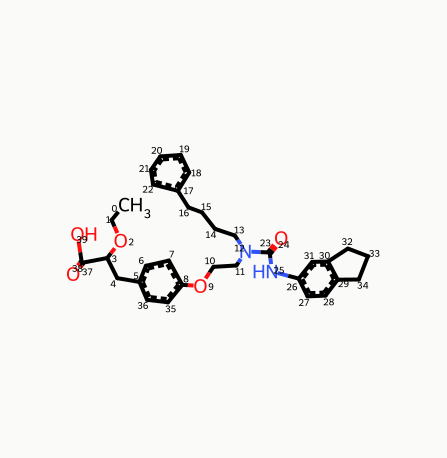 CCOC(Cc1ccc(OCCN(CCCCc2ccccc2)C(=O)Nc2ccc3c(c2)CCC3)cc1)C(=O)O